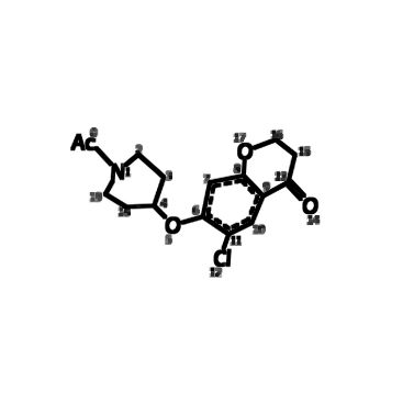 CC(=O)N1CCC(Oc2cc3c(cc2Cl)C(=O)CCO3)CC1